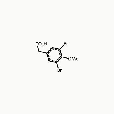 COc1c(Br)cc(CC(=O)O)cc1Br